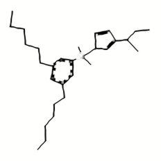 CCCCCCc1cc(CCCCCC)cc([Si](C)(C)[C]2C=CC(C(C)CC)=C2)c1